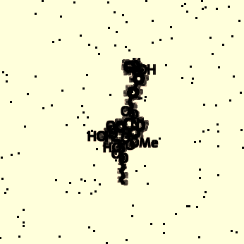 C/C=C/C=C/COC(=O)C[C@](O)(CCCC(C)(C)O)C(=O)O[C@@H]1C(OC)=CC2CCCN3C(OC(=O)/C=C/c4ccc(-c5ccc(O)c(C67CC8CC(CC(C8)C6)C7)c5)cc4)Cc4cc5c(cc4[C@H]1C23)OCO5